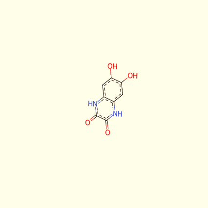 O=c1[nH]c2cc(O)c(O)cc2[nH]c1=O